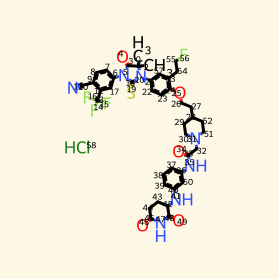 CC1(C)C(=O)N(c2ccc(C#N)c(C(F)(F)F)c2)C(=S)N1c1ccc(OCCC2CCN(CC(=O)Nc3cccc(NC4CCC(=O)NC4=O)c3)CC2)c(CCF)c1.Cl